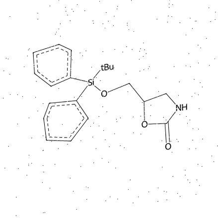 CC(C)(C)[Si](OCC1CNC(=O)O1)(c1ccccc1)c1ccccc1